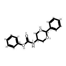 O=C(NC1COC(c2ccccc2)OC1)Oc1ccccc1